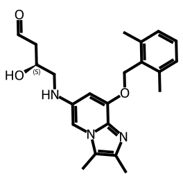 Cc1cccc(C)c1COc1cc(NC[C@@H](O)CC=O)cn2c(C)c(C)nc12